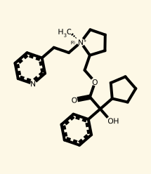 C[N@+]1(CCc2cccnc2)CCCC1COC(=O)C(O)(c1ccccc1)C1CCCC1